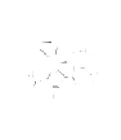 CC(C)Cn1c(CN)c(-c2ccccc2)c2cc(C(=O)N(C)C)ccc2c1=O.Cl